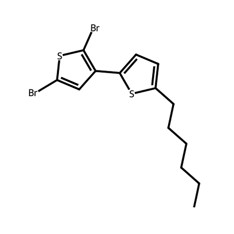 CCCCCCc1ccc(-c2cc(Br)sc2Br)s1